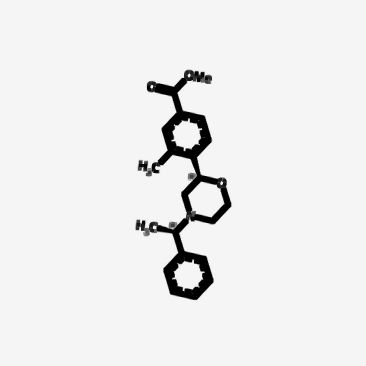 COC(=O)c1ccc([C@@H]2CN([C@H](C)c3ccccc3)CCO2)c(C)c1